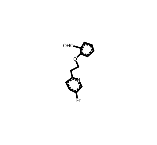 CCc1ccc(CCOc2ccccc2C=O)nc1